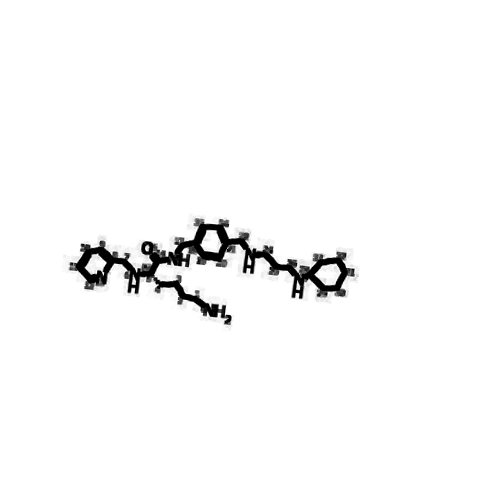 NCCCC[C@H](NCc1ccccn1)C(=O)NCc1ccc(CNCCCNC2CCCCC2)cc1